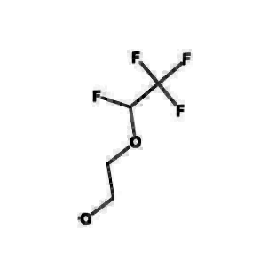 [O]CCOC(F)C(F)(F)F